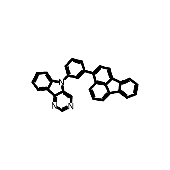 c1cc(-c2ccc3c4c(cccc24)-c2ccccc2-3)cc(-n2c3ccccc3c3ncncc32)c1